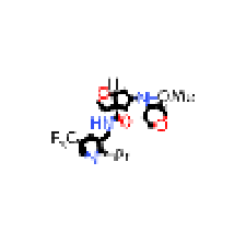 CCCc1ncc(C(F)(F)F)cc1CNC(=O)[C@@]12CCO[C@@H]1C[C@@H](NC1CCOC[C@H]1OC)C2